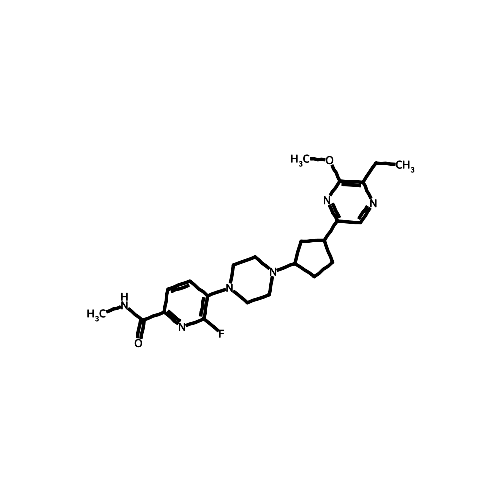 CCc1ncc(C2CCC(N3CCN(c4ccc(C(=O)NC)nc4F)CC3)C2)nc1OC